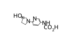 O=C(O)Nc1ccc(N2CC[C@@H](O)C2)nc1